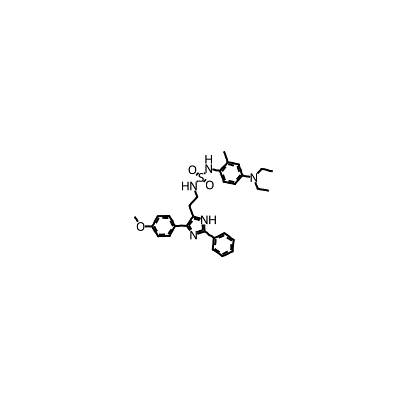 CCN(CC)c1ccc(NS(=O)(=O)NCCc2[nH]c(-c3ccccc3)nc2-c2ccc(OC)cc2)c(C)c1